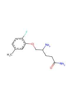 Cc1ccc(F)c(OCC(N)CCC(N)=O)c1